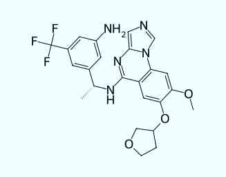 COc1cc2c(cc1OC1CCOC1)c(N[C@H](C)c1cc(N)cc(C(F)(F)F)c1)nc1cncn12